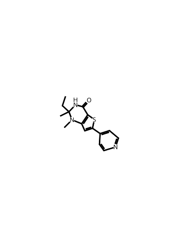 CCC1(C)NC(=O)c2sc(-c3ccncc3)cc2N1C